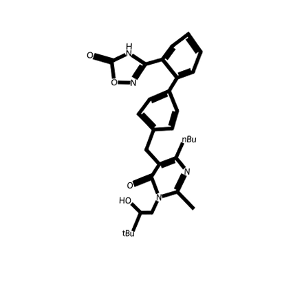 CCCCc1nc(C)n(CC(O)C(C)(C)C)c(=O)c1Cc1ccc(-c2ccccc2-c2noc(=O)[nH]2)cc1